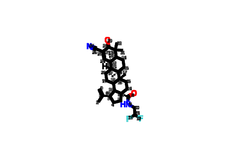 C=C(C)[C@@H]1CC[C@]2(C(=O)NCC(F)F)CC[C@]3(C)C(CC[C@@H]4[C@@]5(C)C=C(C#N)C(=O)C(C)(C)C5CC[C@]43C)C12